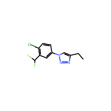 CCc1cn(-c2ccc(Cl)c(C(F)F)c2)nn1